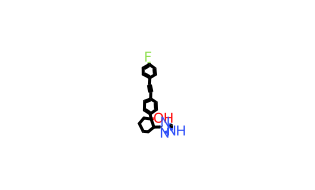 OC1(c2ccc(C#Cc3ccc(F)cc3)cc2)CCCCC1c1nc[nH]n1